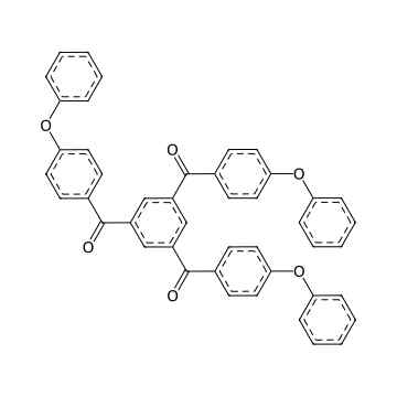 O=C(c1ccc(Oc2ccccc2)cc1)c1cc(C(=O)c2ccc(Oc3ccccc3)cc2)cc(C(=O)c2ccc(Oc3ccccc3)cc2)c1